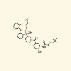 COCCCC[C@@](O)(c1ccccc1Oc1ccccc1C)[C@@H]1CCCN(C(=O)C2CC[C@@H](O)[C@@H](NC(=O)OCC[Si](C)(C)C)C2)C1